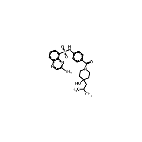 CC(C)CC1(O)CCN(C(=O)c2ccc(NS(=O)(=O)c3cccc4ncc(N)nc34)cc2)CC1